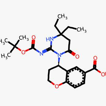 CCC1(CC)CC(=O)N([C@@H]2CCOc3ccc(C(=O)O)cc32)C(=NC(=O)OC(C)(C)C)N1